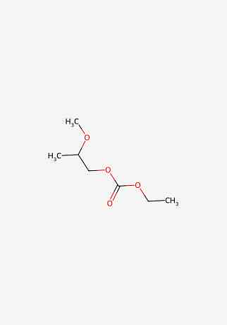 CCOC(=O)OCC(C)OC